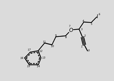 CC#CC(CCI)OCCCCc1ccccc1